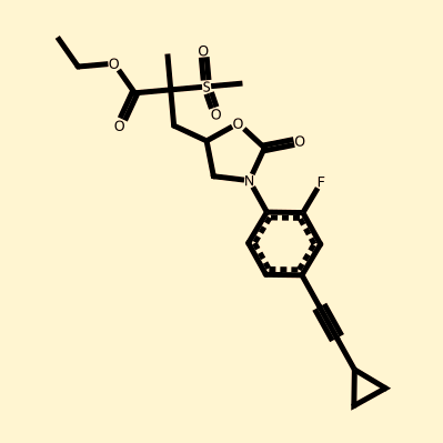 CCOC(=O)C(C)(CC1CN(c2ccc(C#CC3CC3)cc2F)C(=O)O1)S(C)(=O)=O